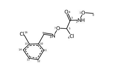 CONC(=O)C(Cl)ON=Cc1ccccc1Cl